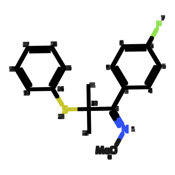 CON=C(c1ccc(F)cc1)C(C)(C)Sc1ccccc1